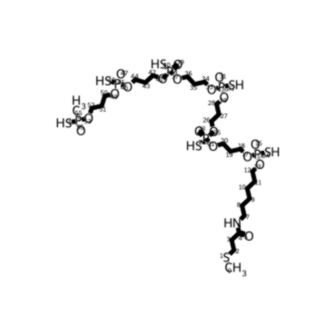 CSCCC(=O)NCCCCCCOP(=O)(S)OCCCOP(=O)(S)OCCCOP(=O)(S)OCCCOP(=O)(S)OCCCOP(=O)(S)OCCCOP(C)(=O)S